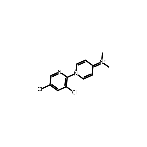 C[N+](C)=c1ccn(-c2ncc(Cl)cc2Cl)cc1